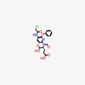 O=CN(c1ccc(NC(=O)CCl)c(Oc2ccccc2)n1)[C@@H](CCC(=O)O)C(=O)O